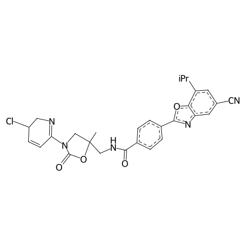 CC(C)c1cc(C#N)cc2nc(-c3ccc(C(=O)NCC4(C)CN(C5=NCC(Cl)C=C5)C(=O)O4)cc3)oc12